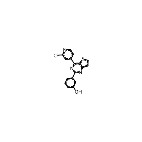 Oc1cccc(-c2nc(-c3ccnc(Cl)c3)c3sccc3n2)c1